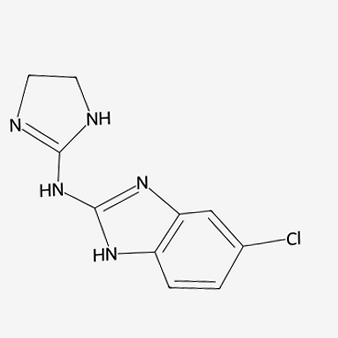 Clc1ccc2[nH]c(NC3=NCCN3)nc2c1